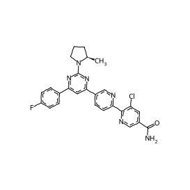 C[C@@H]1CCCN1c1nc(-c2ccc(F)cc2)cc(-c2ccc(-c3ncc(C(N)=O)cc3Cl)nc2)n1